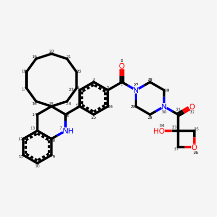 O=C(c1ccc(C2Nc3ccccc3CC23CCCCCCCCC3)cc1)N1CCN(C(=O)C2(O)COC2)CC1